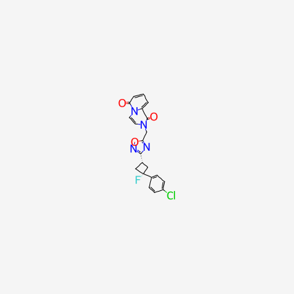 O=c1c2cccc(=O)n2ccn1Cc1nc([C@H]2C[C@](F)(c3ccc(Cl)cc3)C2)no1